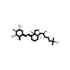 C=C1/C(=C/C=C2\CCC[C@]3(C)[C@@H]([C@@H](C)CCCC(C)(C)O)CC[C@@H]23)C[C@@H](O)[C@H](C)[C@@H]1O